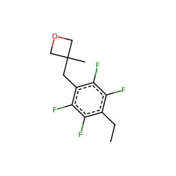 CCc1c(F)c(F)c(CC2(C)COC2)c(F)c1F